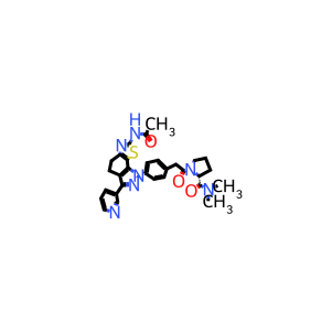 CC(=O)Nc1nc2c(s1)-c1c(c(-c3cccnc3)nn1-c1ccc(CC(=O)N3CCC[C@@H]3C(=O)N(C)C)cc1)CC2